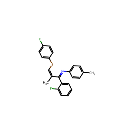 CC(=CSc1ccc(F)cc1)C(=Nc1ccc(C)cc1)c1ccccc1F